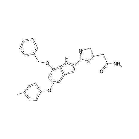 Cc1ccc(Oc2cc(OCc3ccccc3)c3[nH]c(C4=NCC(CC(N)=O)S4)cc3c2)cc1